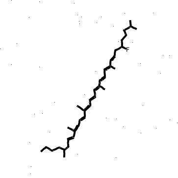 CCCCC(C)C/C=C/C(C)=C/C=C/C(C)=C/C=C/C=C(C)/C=C/C=C(C)/C=C/CC(F)CCCC(C)C